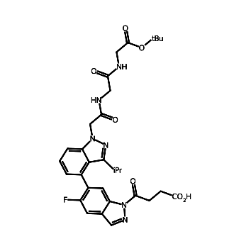 CC(C)c1nn(CC(=O)NCC(=O)NCC(=O)OC(C)(C)C)c2cccc(-c3cc4c(cnn4C(=O)CCC(=O)O)cc3F)c12